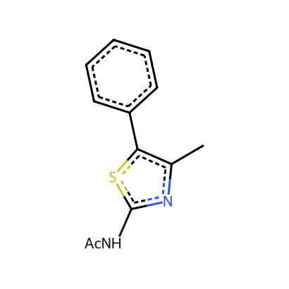 CC(=O)Nc1nc(C)c(-c2ccccc2)s1